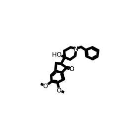 COc1cc2c(cc1OC)C(=O)C(C1(O)CCN(Cc3ccccc3)CC1)C2